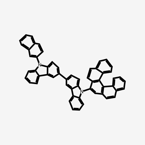 c1ccc2cc(-n3c4ccccc4c4cc(-c5ccc6c(c5)c5ccccc5n6-c5cc6ccc7ccccc7c6c6c5ccc5ccccc56)ccc43)ccc2c1